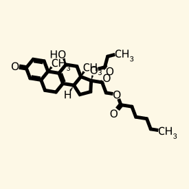 CCCCCC(=O)OCC(=O)[C@@]1(OC(=O)CC)CC[C@H]2C3=C([C@@H](O)C[C@@]21C)[C@@]1(C)C=CC(=O)C=C1CC3